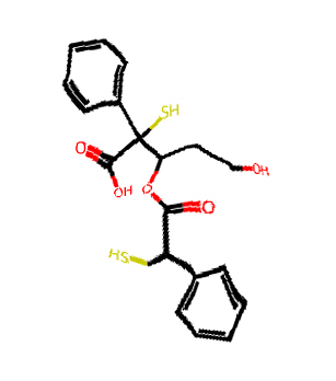 O=C(OC(CCO)C(S)(C(=O)O)c1ccccc1)C(S)c1ccccc1